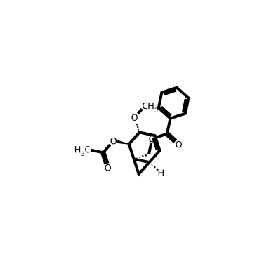 CO[C@@H]1C=C[C@H]2C[C@@]2(COC(=O)c2ccccc2)[C@H]1OC(C)=O